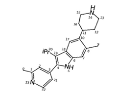 Cc1cc(-c2[nH]c3cc(C)c(C4CCNCC4)cc3c2C(C)C)ccn1